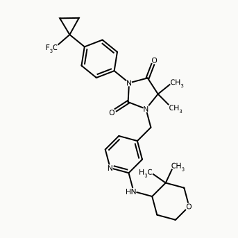 CC1(C)COCCC1Nc1cc(CN2C(=O)N(c3ccc(C4(C(F)(F)F)CC4)cc3)C(=O)C2(C)C)ccn1